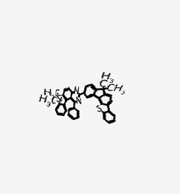 CC1(C)c2ccc(-c3nc(-c4ccccc4)c4c5c(ccc4n3)[Si](C)(C)c3ccccc3-5)cc2-c2c1ccc1c2sc2ccccc21